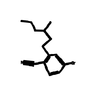 CCCC(C)CCc1cc(Br)ccc1C#N